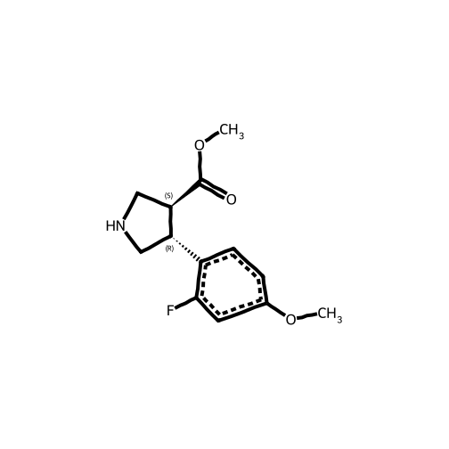 COC(=O)[C@@H]1CNC[C@H]1c1ccc(OC)cc1F